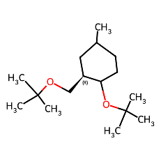 CC1CCC(OC(C)(C)C)[C@@H](COC(C)(C)C)C1